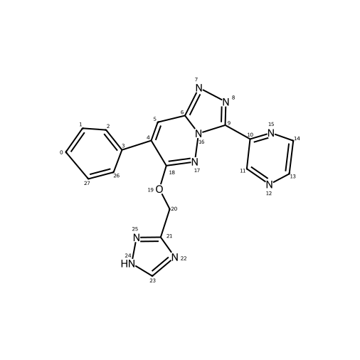 c1ccc(-c2cc3nnc(-c4cnccn4)n3nc2OCc2nc[nH]n2)cc1